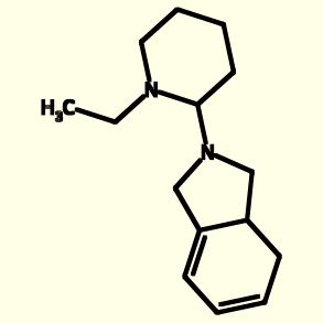 CCN1CCCCC1N1CC2=CC=CCC2C1